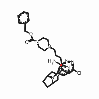 Nc1nnc(Cl)cc1N1CC2CCC(C1)N2c1ccnc(CCCN2CCN(C(=O)OCc3ccccc3)CC2)c1